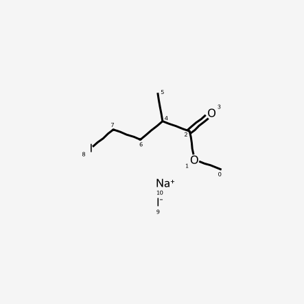 COC(=O)C(C)CCI.[I-].[Na+]